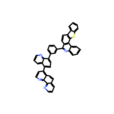 c1cc(-c2nc3ccccc3c3c2ccc2c4ccccc4sc23)cc(-c2ccc(-c3ccnc4c3ccc3cccnc34)c3cccnc23)c1